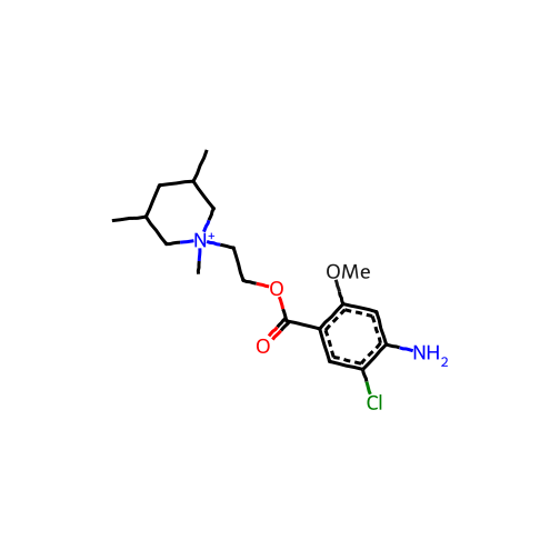 COc1cc(N)c(Cl)cc1C(=O)OCC[N+]1(C)CC(C)CC(C)C1